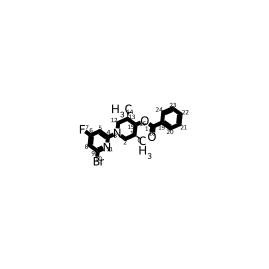 C[C@@H]1CN(c2cc(F)cc(Br)n2)C[C@H](C)C1OC(=O)c1ccccc1